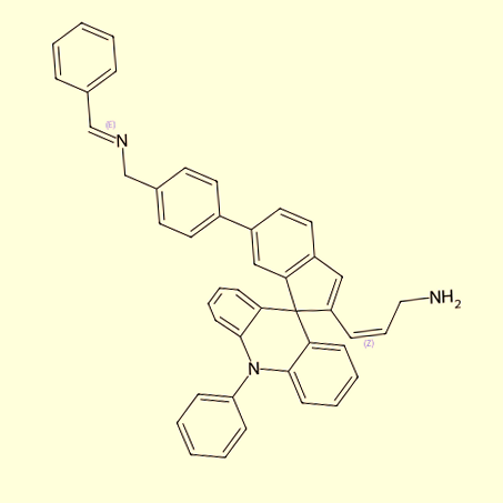 NC/C=C\C1=Cc2ccc(-c3ccc(C/N=C/c4ccccc4)cc3)cc2C12c1ccccc1N(c1ccccc1)c1ccccc12